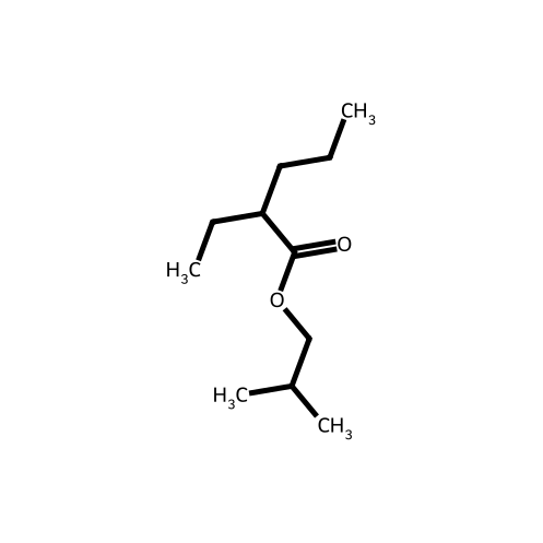 CCCC(CC)C(=O)OCC(C)C